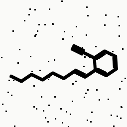 C#Cc1ccccc1C=CCCCCCC